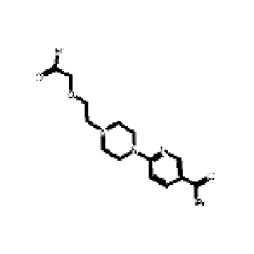 CCC(=O)COCCN1CCN(c2ccc(C(=O)C(C)C)cn2)CC1